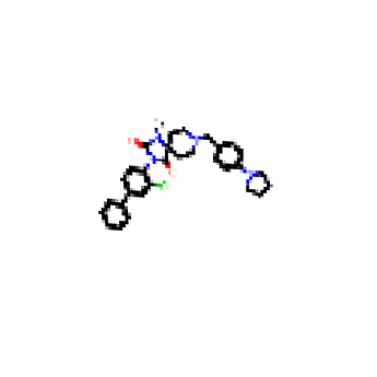 CCN1C(=O)N(c2ccc(-c3ccccc3)cc2Cl)C(=O)C12CCN(Cc1ccc(N3CCCC3)cc1)CC2